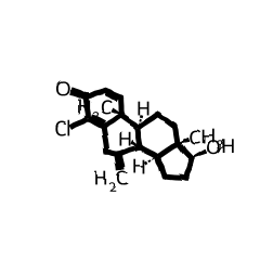 C=C1CC2=C(Cl)C(=O)C=C[C@]2(C)[C@H]2CC[C@]3(C)[C@@H](O)CC[C@H]3[C@H]12